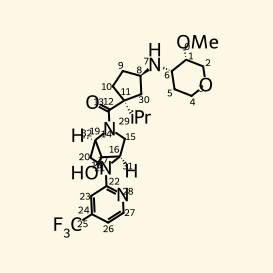 CO[C@@H]1COCC[C@@H]1N[C@@H]1CC[C@@](C(=O)N2C[C@@H]3C(O)[C@H]2CN3c2cc(C(F)(F)F)ccn2)(C(C)C)C1